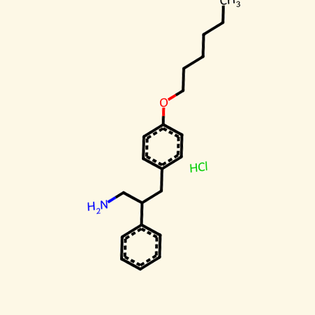 CCCCCCOc1ccc(CC(CN)c2ccccc2)cc1.Cl